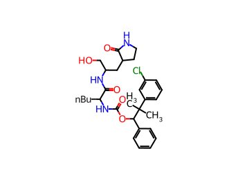 CCCCC(NC(=O)OC(c1ccccc1)C(C)(C)c1cccc(Cl)c1)C(=O)NC(CO)CC1CCNC1=O